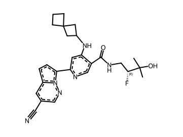 CC(C)(O)[C@H](F)CNC(=O)c1cnc(-c2ccc3cc(C#N)cnn23)cc1NC1CC2(CCC2)C1